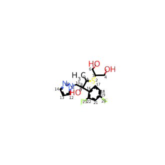 C[C@@H](SC(CO)CO)[C@](O)(Cn1cccn1)c1ccc(F)cc1F